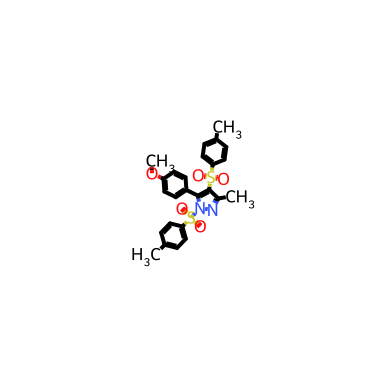 COc1ccc(-c2c(S(=O)(=O)c3ccc(C)cc3)c(C)nn2S(=O)(=O)c2ccc(C)cc2)cc1